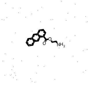 NCCOC(=O)c1cccc2cc3ccccc3cc12